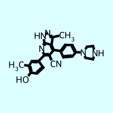 Cc1cc(-c2nc3[nH]nc(C)c3c(-c3ccc(N4CCNCC4)cc3)c2C#N)ccc1O